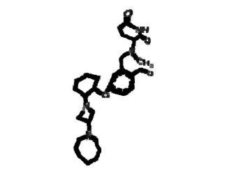 CN(Cc1cc(OC2CCCCC2N2CC(N3CCCCCCC3)C2)ccc1C=O)C1CCC(=O)NC1=O